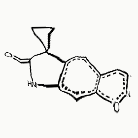 O=C1Nc2cc3on[c]c3cc2C12CC2